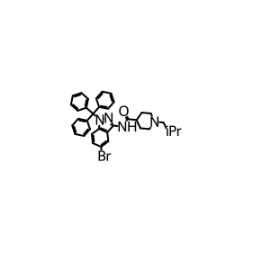 CC(C)CN1CCC(C(=O)Nc2nn(C(c3ccccc3)(c3ccccc3)c3ccccc3)c3ccc(Br)cc23)CC1